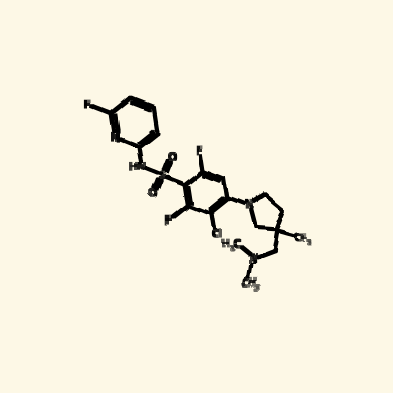 CN(C)CC1(C(F)(F)F)CCN(c2cc(F)c(S(=O)(=O)Nc3cccc(F)n3)c(F)c2Cl)C1